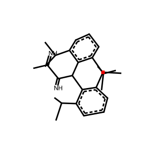 CC(=N)C(=N)C(c1c(C(C)C)cccc1C(C)C)c1c(C(C)C)cccc1C(C)C